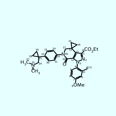 CCOC(=O)c1nn(-c2ccc(OC)cc2F)c2c1C1(CC1)CN(c1ccc(C3(CN(C)C)CC3)cc1)C2=O